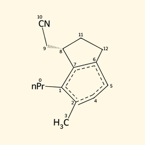 CCCc1c(C)ccc2c1[C@H](CC#N)CC2